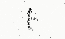 CCOCCOCCOCCOC(=O)CS.[SbH3]